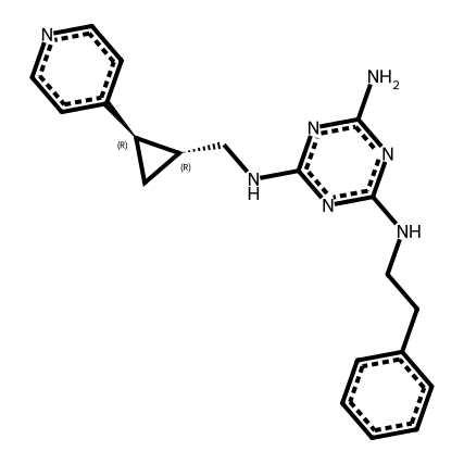 Nc1nc(NCCc2ccccc2)nc(NC[C@@H]2C[C@H]2c2ccncc2)n1